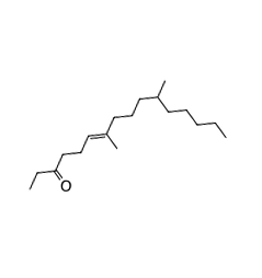 CCCCCC(C)CCC/C(C)=C/CCC(=O)CC